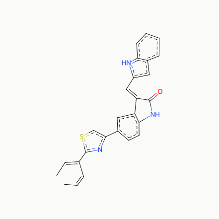 C/C=C\C(=C/C)c1nc(-c2ccc3c(c2)/C(=C/c2cc4ccccc4[nH]2)C(=O)N3)cs1